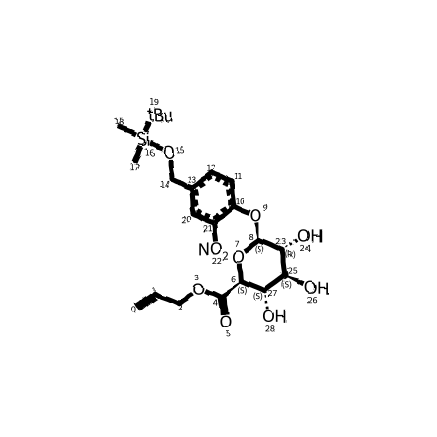 C=CCOC(=O)[C@H]1O[C@@H](Oc2ccc(CO[Si](C)(C)C(C)(C)C)cc2[N+](=O)[O-])[C@H](O)[C@@H](O)[C@@H]1O